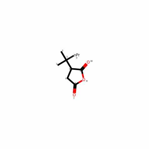 CCCC(C)(C)C1CC(=O)OC1=O